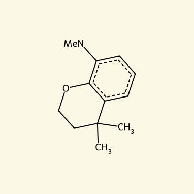 CNc1cccc2c1OCCC2(C)C